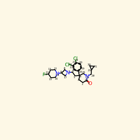 O=C1CCC(CCN2CC(N3CCC(F)CC3)C2)(c2ccc(Cl)c(Cl)c2)CN1CC1CC1